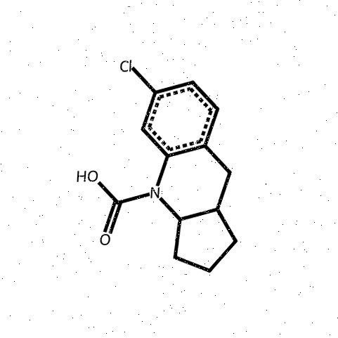 O=C(O)N1c2cc(Cl)ccc2CC2CCCC21